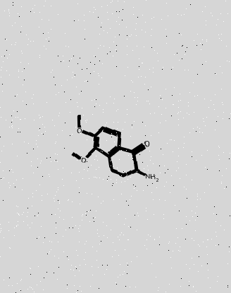 COc1ccc2c(c1OC)CCC(N)C2=O